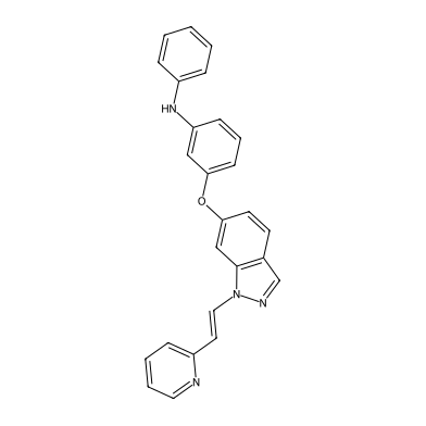 C(=Cn1ncc2ccc(Oc3cccc(Nc4ccccc4)c3)cc21)c1ccccn1